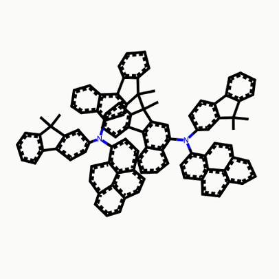 CC1(C)c2ccccc2-c2ccc(N(c3cc4c(c5ccccc35)-c3ccccc3C4(C)C3(C)c4ccccc4-c4c3cc(N(c3ccc5c(c3)C(C)(C)c3ccccc3-5)c3ccc5ccc6cccc7ccc3c5c67)c3ccccc43)c3ccc4ccc5cccc6ccc3c4c56)cc21